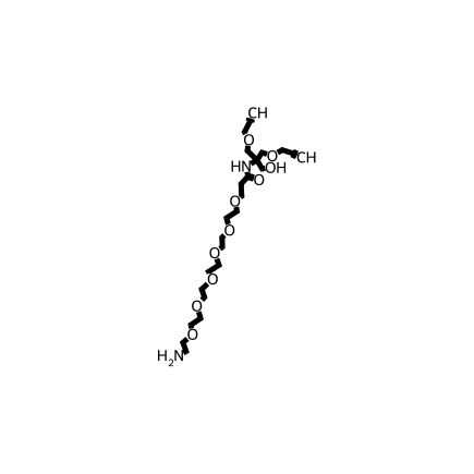 C#CCOCC(CO)(COCC#C)NC(=O)CCOCCOCCOCCOCCOCCOCCN